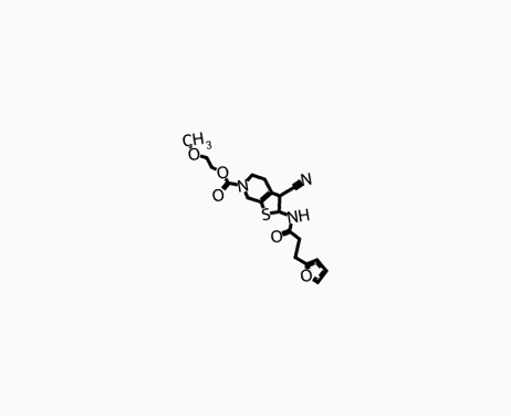 COCCOC(=O)N1CCC2=C(C1)SC(NC(=O)CCc1ccco1)C2C#N